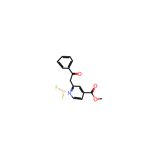 COC(=O)c1ccnc(CC(=O)c2ccccc2)c1.F[B]F